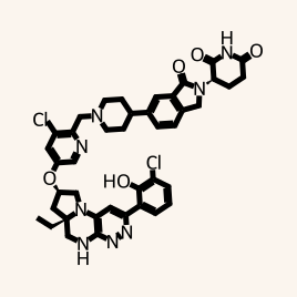 CC[C@]12CNc3nnc(-c4cccc(Cl)c4O)cc3N1C[C@H](Oc1cnc(CN3CCC(c4ccc5c(c4)C(=O)N([C@H]4CCC(=O)NC4=O)C5)CC3)c(Cl)c1)C2